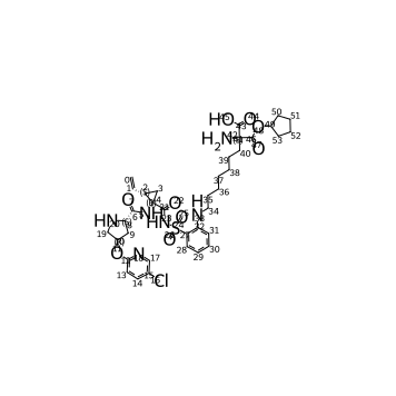 C=C[C@@H]1C[C@]1(NC(=O)[C@@H]1C[C@@H](Oc2ccc(Cl)cn2)CN1)C(=O)NS(=O)(=O)c1ccccc1NCCCCCCC[C@](N)(C(=O)O)C(=O)OC1CCCC1